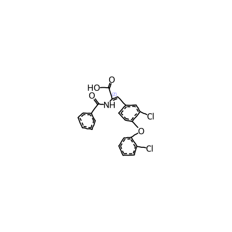 O=C(O)/C(=C/c1ccc(Oc2ccccc2Cl)c(Cl)c1)NC(=O)c1ccccc1